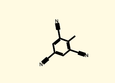 Cc1c(C#N)cc(C#N)cc1C#N